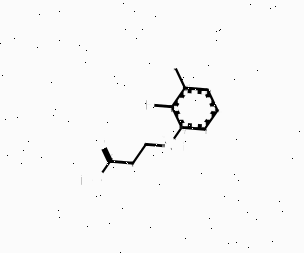 Cc1cccc(NCCC(=O)O)c1F